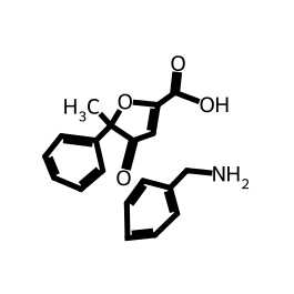 CC1(c2ccccc2)OC(C(=O)O)=CC1=O.NCc1ccccc1